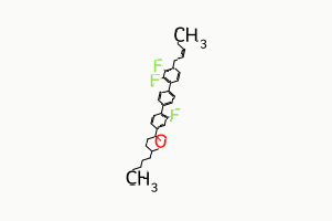 CC/C=C\Cc1ccc(-c2ccc(-c3ccc(C4CCC(CCCCC)CO4)cc3F)cc2)c(F)c1F